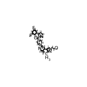 Cc1nn(CC=O)cc1-c1nc(N2CCN(C(=O)N3N=CC[C@H]3c3cc(F)cc(F)c3)CC2)ncc1F